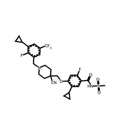 CS(=O)(=O)NC(=O)c1cc(C2CC2)c(OCC2(C#N)CCN(Cc3cc(C(F)(F)F)cc(C4CC4)c3F)CC2)cc1F